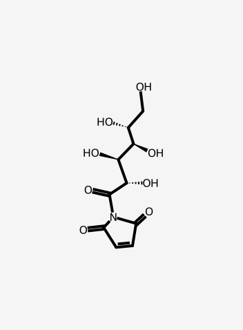 O=C1C=CC(=O)N1C(=O)[C@@H](O)[C@@H](O)[C@H](O)[C@H](O)CO